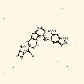 COc1cc2[nH]ncc2cc1Nc1ncnc2sc3c(c12)CC[C@@](C)(C(=O)N1CCC1)C3